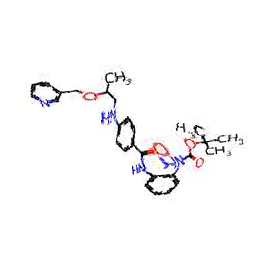 CC(CNc1ccc(C(=O)Nc2ccccc2NC(=O)OC(C)(C)C)cc1)OCc1cccnc1